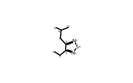 CCc1nsnc1CC(C)C